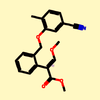 CO/C=C(/C(=O)OC)c1ccccc1COc1cc(C#N)ccc1C